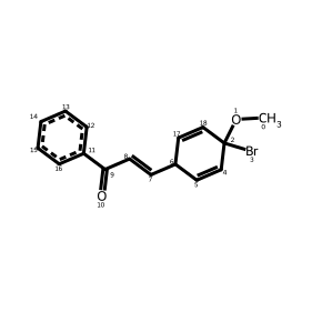 COC1(Br)C=CC(/C=C/C(=O)c2ccccc2)C=C1